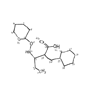 CCC(NOC1CCCCO1)C(CC1CCCCC1)C(=O)O